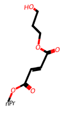 CCCOC(=O)C=CC(=O)OCCCO